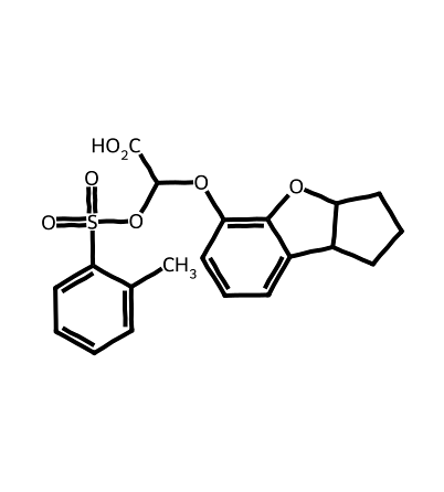 Cc1ccccc1S(=O)(=O)OC(Oc1cccc2c1OC1CCCC21)C(=O)O